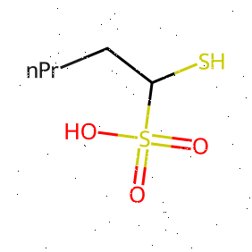 CCCCC(S)S(=O)(=O)O